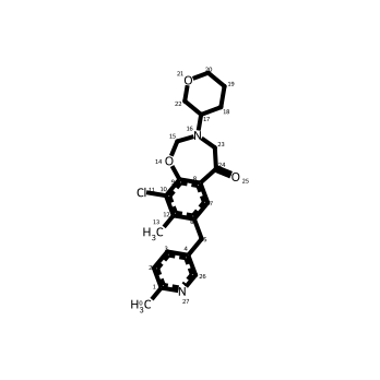 Cc1ccc(Cc2cc3c(c(Cl)c2C)OCN(C2CCCOC2)CC3=O)cn1